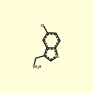 O=S(=O)(O)Cc1csc2ccc(Cl)cc12